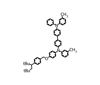 Cc1cccc(N(c2ccccc2)c2ccc(-c3ccc(N(c4ccc(OCc5ccc(C(CC(C)(C)C)C(C)(C)C)cc5)cc4)c4cccc(C)c4)cc3)cc2)c1